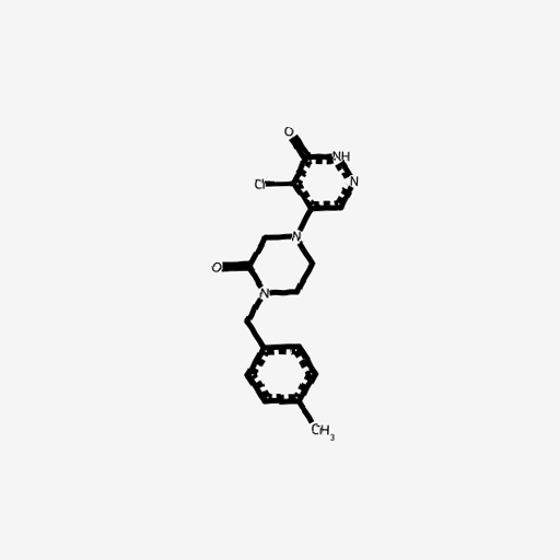 Cc1ccc(CN2CCN(c3cn[nH]c(=O)c3Cl)CC2=O)cc1